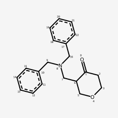 O=C1CCOCC1CN(Cc1ccccc1)Cc1ccccc1